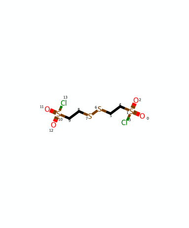 O=S(=O)(Cl)CCSSCCS(=O)(=O)Cl